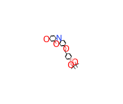 CC1(C)OB(c2ccc(COc3ccc4nc5ccc(=O)cc-5oc4c3)cc2)OC1(C)C